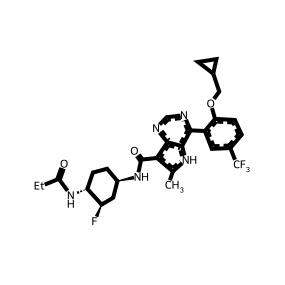 CCC(=O)N[C@@H]1CC[C@@H](NC(=O)c2c(C)[nH]c3c(-c4cc(C(F)(F)F)ccc4OCC4CC4)ncnc23)C[C@H]1F